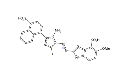 COc1ccc2nc(/N=N/c3c(C)nn(-c4ccc(S(=O)(=O)O)c5ccccc45)c3N)sc2c1S(=O)(=O)O